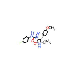 COc1ccc([C@H]2[C@H](C)NC(=O)[C@@H]2NC(=O)Nc2ccc(F)cc2)cc1